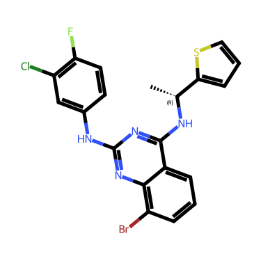 C[C@@H](Nc1nc(Nc2ccc(F)c(Cl)c2)nc2c(Br)cccc12)c1cccs1